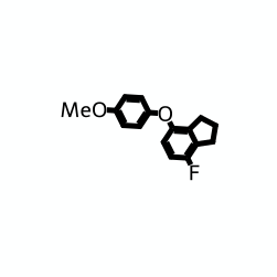 COc1ccc(Oc2ccc(F)c3c2CCC3)cc1